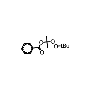 CC(C)(C)OOC(C)(C)OC(=O)c1ccccc1